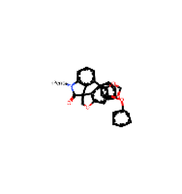 CCCCCN1C(=O)C2(COc3cc4c(cc32)OCO4)c2c(-c3ccc(Oc4ccccc4)cc3)cccc21